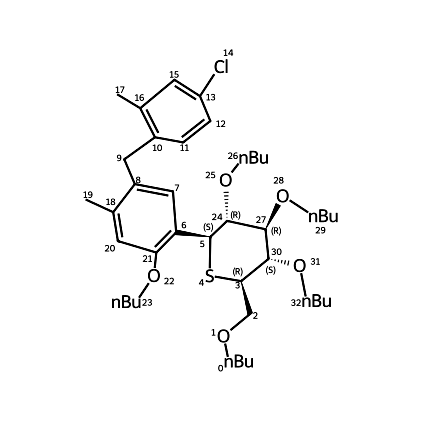 CCCCOC[C@H]1S[C@@H](c2cc(Cc3ccc(Cl)cc3C)c(C)cc2OCCCC)[C@H](OCCCC)[C@@H](OCCCC)[C@@H]1OCCCC